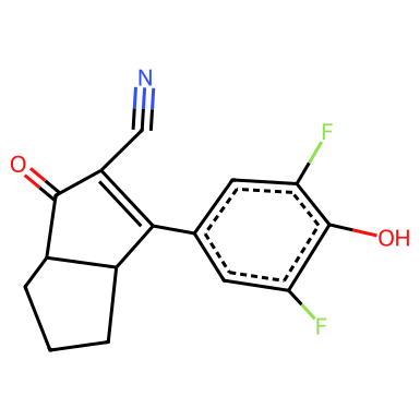 N#CC1=C(c2cc(F)c(O)c(F)c2)C2CCCC2C1=O